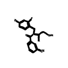 [CH2]C(COC)N(Cc1ccc(F)cc1F)C(=O)c1cccc(C#N)c1